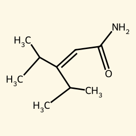 CC(C)C(=CC(N)=O)C(C)C